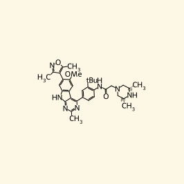 COc1cc2c(cc1-c1c(C)noc1C)[nH]c1nc(C)nc(-c3ccc(NC(=O)CN4C[C@@H](C)N[C@@H](C)C4)c(C(C)(C)C)c3)c12